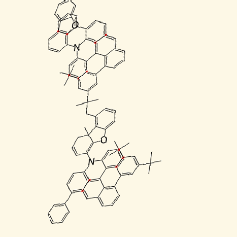 CC(C)(C)c1cc(-c2cccc3cccc(-c4ccccc4N(C4=C5Oc6cccc(CC(C)(C)c7cc(-c8cccc9cccc(-c%10ccccc%10N(c%10ccccc%10-c%10ccccc%10)c%10cccc%11c%10oc%10ccccc%10%11)c89)cc(C(C)(C)C)c7)c6C5(C)CC=C4)c4ccc(-c5ccccc5)cc4)c23)cc(C(C)(C)C)c1